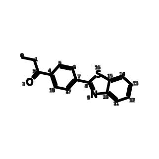 CCC(=O)c1ccc(-c2nc3ccccc3s2)cc1